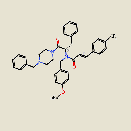 CCCCOc1ccc(CN(C(=O)/C=C/c2ccc(C(F)(F)F)cc2)[C@@H](Cc2ccccc2)C(=O)N2CCN(Cc3ccccc3)CC2)cc1